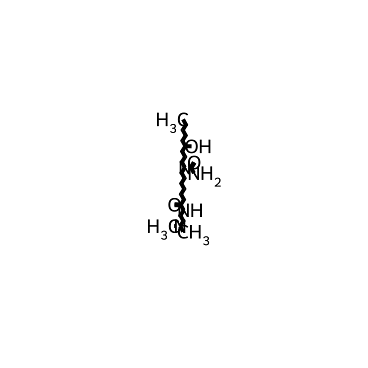 CCCCCC(O)CCCN(CCCCCCC(=O)NCCN(C)C)C(N)=O